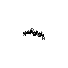 CC(=O)NCC1CN(c2ccc(N3CC/C(=C(/C)C#N)[C@H](F)C3)c(F)c2)C(=O)O1